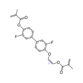 C=C(C)C(=O)O/C=C\Oc1ccc(-c2ccc(OC(=O)C(=C)C)c(F)c2)cc1F